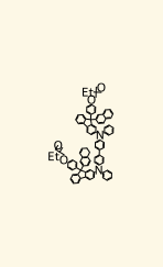 CCC1(COc2ccc(C3(c4ccc5c(c4)C=CCC5)c4ccccc4-c4ccc(N(c5ccccc5)c5ccc(-c6ccc(N(c7ccccc7)c7ccc8c(c7)C(c7ccc(OCC9(CC)COC9)cc7)(c7ccc9ccccc9c7)c7ccccc7-8)cc6)cc5)cc43)cc2)COC1